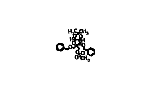 CC1(C)O[C@H]2O[C@@](COCc3ccccc3)(COS(C)(=O)=O)[C@@H](OCc3ccccc3)[C@H]2O1